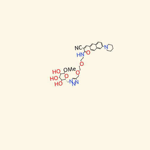 CO[C@H]1O[C@H](Cn2cc(COCCOCCNC(=O)/C(C#N)=C\c3ccc4cc(N5CCCCC5)ccc4c3)nn2)[C@@H](O)[C@H](O)[C@H]1O